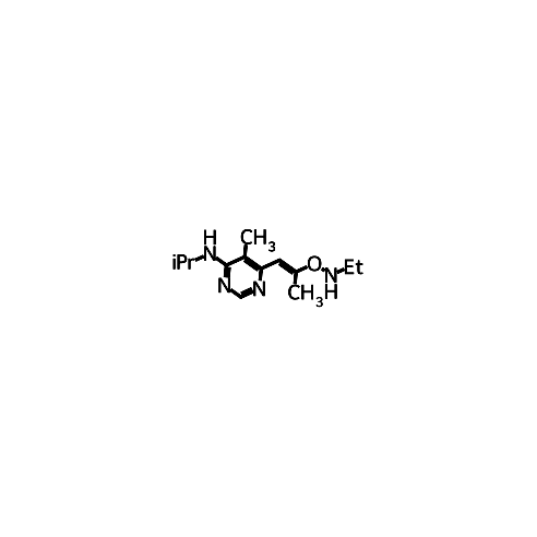 CCNO/C(C)=C/c1ncnc(NC(C)C)c1C